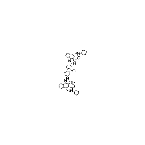 O=C1c2cc(/N=N/c3c(O)c(C(=O)Nc4ccccc4)cc4ccccc34)ccc2-c2ccc(/N=N/c3c(O)c(C(=O)Nc4ccccc4)cc4ccccc34)cc21